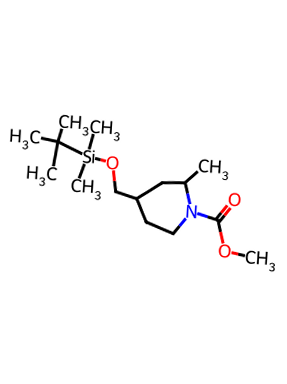 COC(=O)N1CCC(CO[Si](C)(C)C(C)(C)C)CC1C